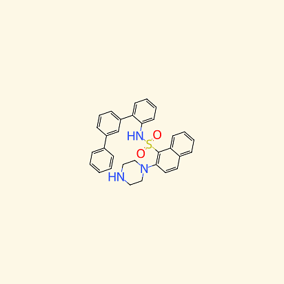 O=S(=O)(Nc1ccccc1-c1cccc(-c2ccccc2)c1)c1c(N2CCNCC2)ccc2ccccc12